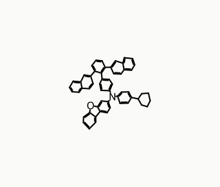 c1cc(-c2ccc3ccccc3c2)c(-c2ccc(N(c3ccc(C4CCCCC4)cc3)c3ccc4c(c3)oc3ccccc34)cc2)c(-c2ccc3ccccc3c2)c1